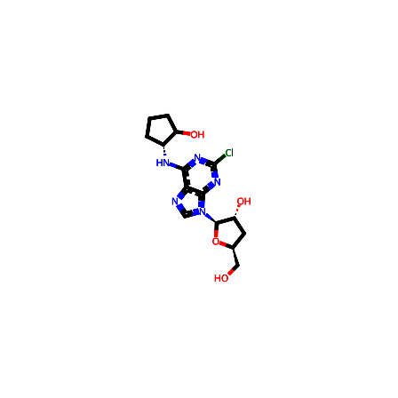 OC[C@@H]1C[C@@H](O)[C@H](n2cnc3c(N[C@@H]4CCCC4O)nc(Cl)nc32)O1